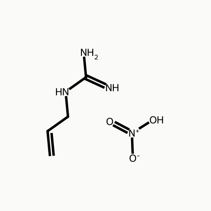 C=CCNC(=N)N.O=[N+]([O-])O